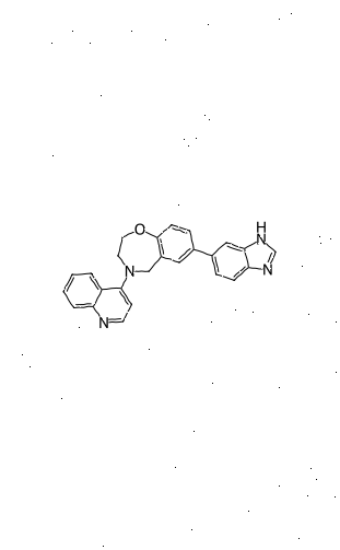 c1ccc2c(N3CCOc4ccc(-c5ccc6nc[nH]c6c5)cc4C3)ccnc2c1